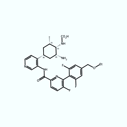 CCOCc1cc(F)c(-c2nc(C(=O)Nc3cnccc3[C@H]3C[C@@H](N)[C@@H](NC(=O)O)[C@@H](C)C3)ccc2F)c(F)c1